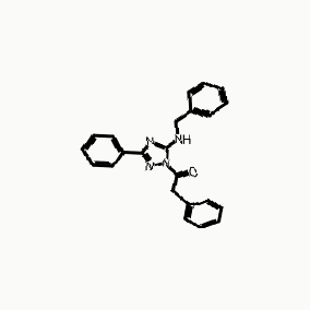 O=C(Cc1ccccc1)n1nc(-c2ccccc2)nc1NCc1ccccc1